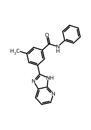 Cc1cc(C(=O)Nc2ccccc2)cc(-c2nc3cccnc3[nH]2)c1